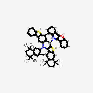 Cc1cc2c(cc1N1c3cc4c(sc5ccccc54)c4c3B(c3sc5cc6c(cc5c31)C(C)(C)CCC6(C)C)n1c3c-4cccc3c3oc4ccccc4c31)C(C)(C)CCC2(C)C